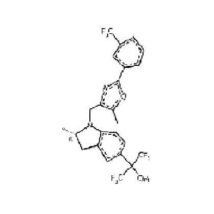 Cc1oc(-c2cccc(C(F)(F)F)c2)nc1CN1c2ccc(C(O)(C(F)(F)F)C(F)(F)F)cc2C[C@@H]1C